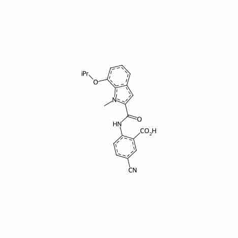 CC(C)Oc1cccc2cc(C(=O)Nc3ccc(C#N)cc3C(=O)O)n(C)c12